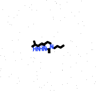 C=C1N/C(=C\C(=N)C(C)C)CCN1CCCC